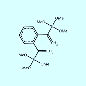 C=C(c1ccccc1C(=C)[Si](OC)(OC)OC)[Si](OC)(OC)OC